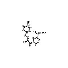 CNC(=O)c1cccc(NC(=O)OCc2ccc(C(C)C)cc2)c1